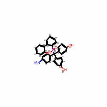 Nc1ccc(C(c2ccc(O)cc2)(c2ccc(O)cc2)P2(=O)Oc3ccccc3-c3ccccc32)cc1